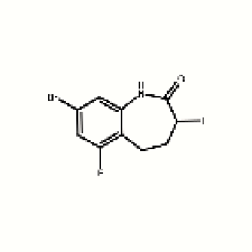 O=C1Nc2cc(Br)cc(F)c2CCC1I